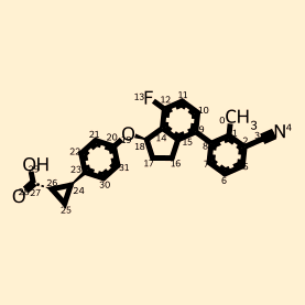 Cc1c(C#N)cccc1-c1ccc(F)c2c1CC[C@H]2Oc1ccc([C@H]2C[C@@H]2C(=O)O)cc1